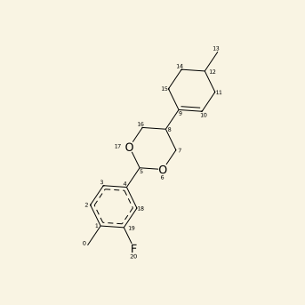 Cc1ccc(C2OCC(C3=CCC(C)CC3)CO2)cc1F